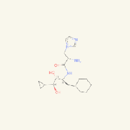 NC(Cn1ccnc1)C(=O)N[C@@H](CC1CCCCC1)[C@@H](O)[C@@H](O)C1CC1